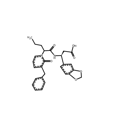 CCCC(C(=O)N[C@@H](CC(=O)O)c1ccc2c(c1)OCO2)n1cccc(Cc2ccccc2)c1=O